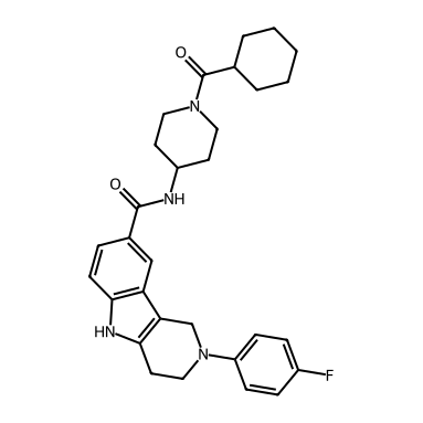 O=C(NC1CCN(C(=O)C2CCCCC2)CC1)c1ccc2[nH]c3c(c2c1)CN(c1ccc(F)cc1)CC3